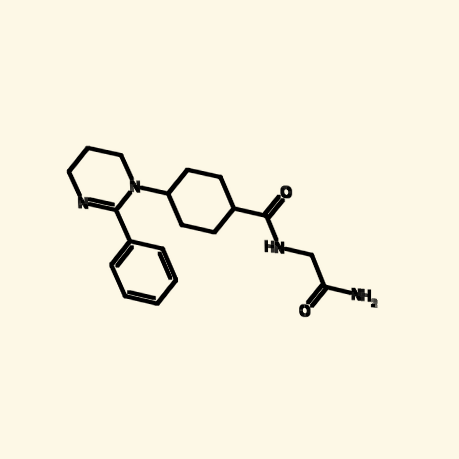 NC(=O)CNC(=O)C1CCC(N2CCCN=C2c2ccccc2)CC1